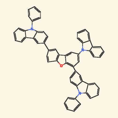 c1ccc(-n2c3ccccc3c3cc(-c4ccc5oc6c(-c7ccc8c(c7)c7ccccc7n8-c7ccccc7)cc(-n7c8ccccc8c8ccccc87)cc6c5c4)ccc32)cc1